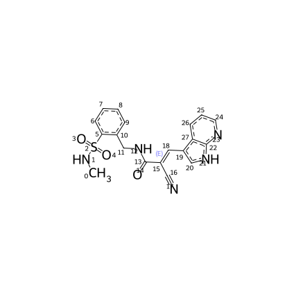 CNS(=O)(=O)c1ccccc1CNC(=O)/C(C#N)=C/c1c[nH]c2ncccc12